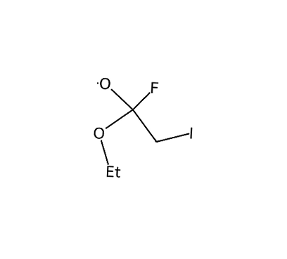 CCOC([O])(F)CI